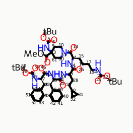 COC(=O)C1(NC(=O)OC(C)(C)C)CCN(C(=O)[C@@H](CCCCNC(=O)OC(C)(C)C)NC(=O)C(CCC2CC2)NC(=O)[C@@H](Cc2ccccc2)NC(=O)[C@@H](Cc2ccccc2)NC(=O)OC(C)(C)C)CC1